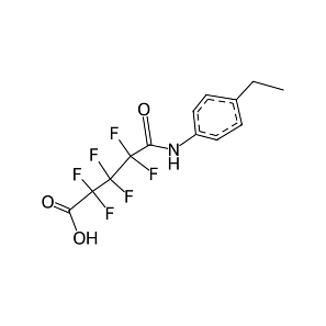 CCc1ccc(NC(=O)C(F)(F)C(F)(F)C(F)(F)C(=O)O)cc1